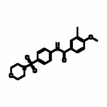 COc1ccc(C(=O)Nc2ccc(S(=O)(=O)N3CCOCC3)cc2)cc1I